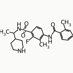 Cc1ccccc1C(=O)Nc1ccc(S(=O)(=O)NC(C)C2CCNCC2)c(F)c1C